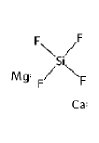 F[Si](F)(F)F.[Ca].[Mg]